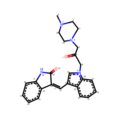 CN1CCN(CC(=O)Cn2cc(/C=C3\C(=O)Nc4ccccc43)c3ccccc32)CC1